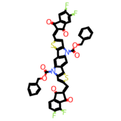 O=C1C(=Cc2cc3c(s2)c2cc4c(cc2n3C(=O)OCc2ccccc2)c2sc(/C=C3\C(=O)c5ccc(F)c(F)c5C3=O)cc2n4C(=O)OCc2ccccc2)C(=O)c2cc(F)c(F)cc21